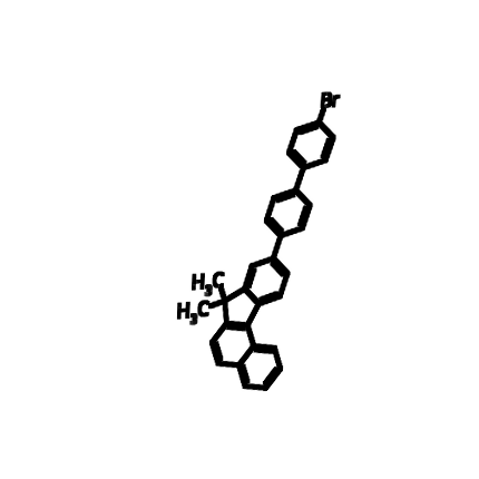 CC1(C)c2cc(-c3ccc(-c4ccc(Br)cc4)cc3)ccc2-c2c1ccc1ccccc21